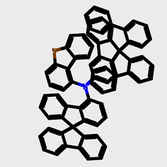 c1ccc(-c2ccccc2C2(c3ccccc3-c3ccccc3)c3ccccc3-c3cc(N(c4cccc5c4-c4ccccc4C54c5ccccc5-c5ccccc54)c4cccc5sc6ccccc6c45)ccc32)cc1